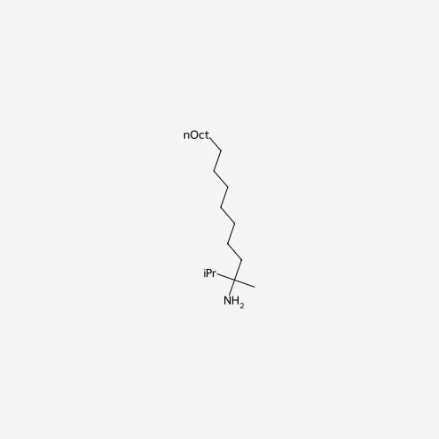 CCCCCCCCCCCCCCCC(C)(N)C(C)C